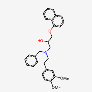 COc1ccc(CCN(Cc2ccccc2)CC(O)COc2cccc3ccccc23)cc1OC